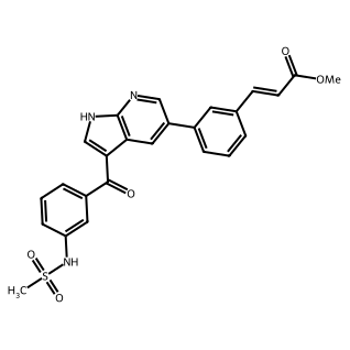 COC(=O)C=Cc1cccc(-c2cnc3[nH]cc(C(=O)c4cccc(NS(C)(=O)=O)c4)c3c2)c1